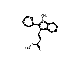 Cn1c(-c2ccccc2)c(C=CC(=O)OC(C)(C)C)c2ccccc21